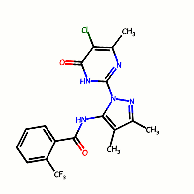 Cc1nn(-c2nc(C)c(Cl)c(=O)[nH]2)c(NC(=O)c2ccccc2C(F)(F)F)c1C